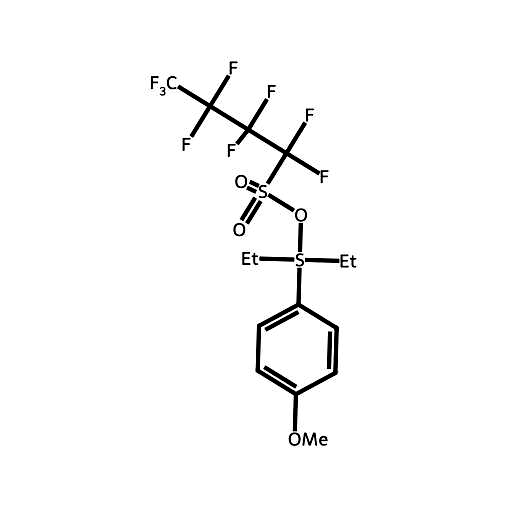 CCS(CC)(OS(=O)(=O)C(F)(F)C(F)(F)C(F)(F)C(F)(F)F)c1ccc(OC)cc1